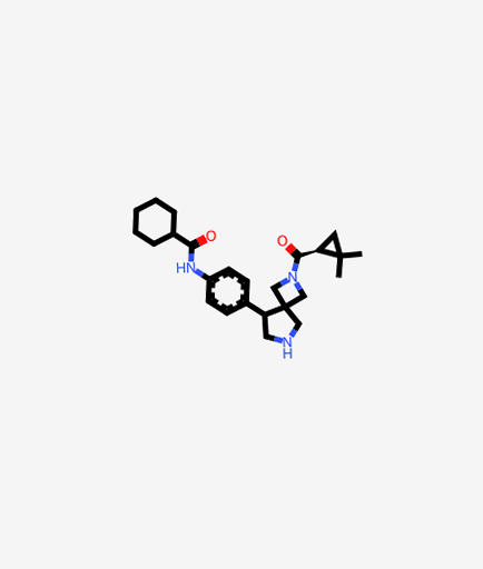 CC1(C)C[C@@H]1C(=O)N1CC2(CNCC2c2ccc(NC(=O)C3CCCCC3)cc2)C1